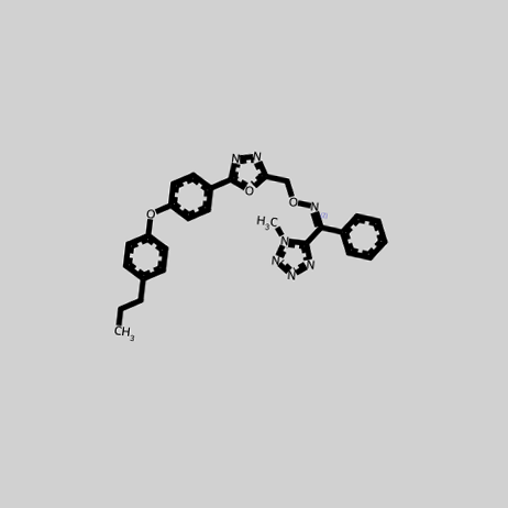 CCCc1ccc(Oc2ccc(-c3nnc(CO/N=C(/c4ccccc4)c4nnnn4C)o3)cc2)cc1